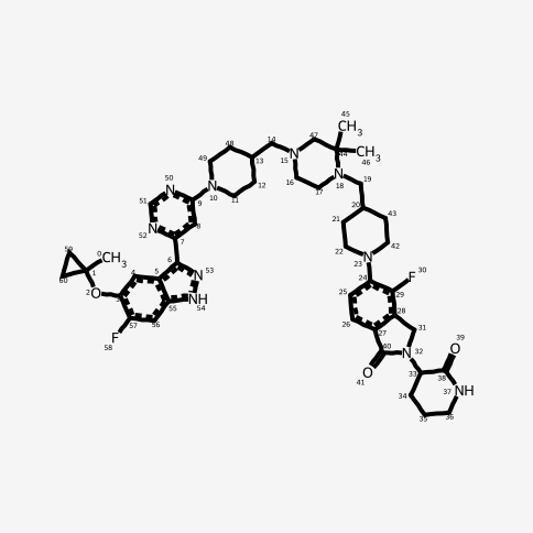 CC1(Oc2cc3c(-c4cc(N5CCC(CN6CCN(CC7CCN(c8ccc9c(c8F)CN(C8CCCNC8=O)C9=O)CC7)C(C)(C)C6)CC5)ncn4)n[nH]c3cc2F)CC1